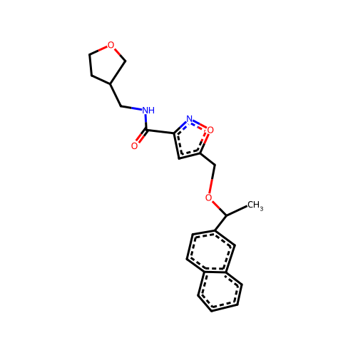 CC(OCc1cc(C(=O)NCC2CCOC2)no1)c1ccc2ccccc2c1